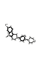 Cn1c2c(c3ccc(F)cc31)CN(c1ccc(N3CCOCC3)nc1)CC2